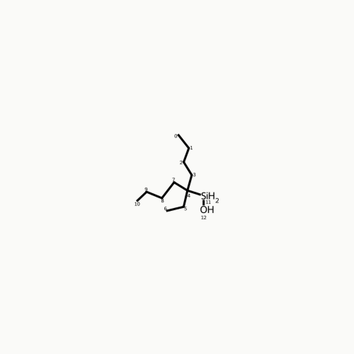 CCCCC(CC)(CCCC)[SiH2]O